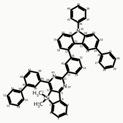 C[Si]1(C)c2ccccc2-c2nc(-c3cccc(-c4cccc5c4c4cc(-c6ccccc6)ccc4n5-c4ccccc4)c3)nc(-c3cccc(-c4ccccc4)c3)c21